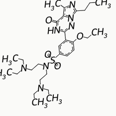 CCCc1nc(C)c2c(=O)[nH]c(-c3cc(S(=O)(=O)N(CCN(CC)CC)CCN(CC)CC)ccc3OCC)nn12